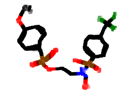 COc1ccc(S(=O)(=O)OCC[NH+]([O-])S(=O)(=O)c2ccc(C(F)(F)F)cc2)cc1